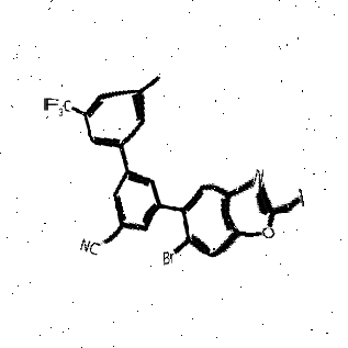 Cc1cc(-c2cc(C#N)cc(-c3cc4nc(I)oc4cc3Br)c2)cc(C(F)(F)F)c1